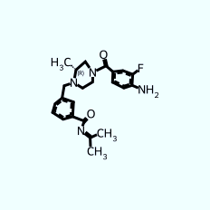 CC(C)=NC(=O)c1cccc(CN2CCN(C(=O)c3ccc(N)c(F)c3)C[C@H]2C)c1